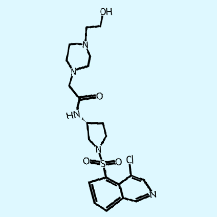 O=C(CN1CCN(CCO)CC1)N[C@@H]1CCN(S(=O)(=O)c2cccc3cncc(Cl)c23)C1